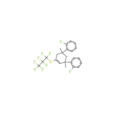 CC1(c2ccccc2F)[CH]C(C)(c2ccccc2F)CC(SC(F)(F)C(F)(F)C(F)(F)F)=C1